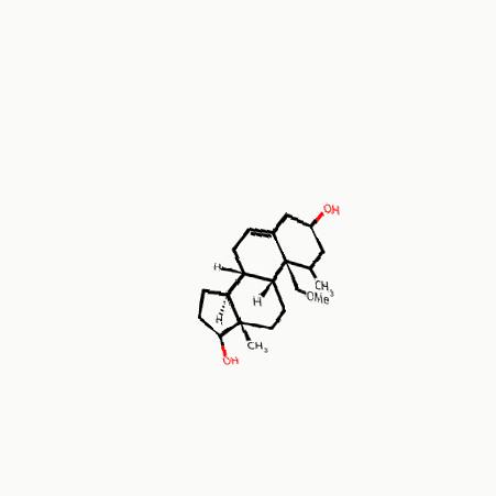 COC[C@]12C(=CC[C@@H]3[C@H]1CC[C@]1(C)C(O)CC[C@@H]31)CC(O)CC2C